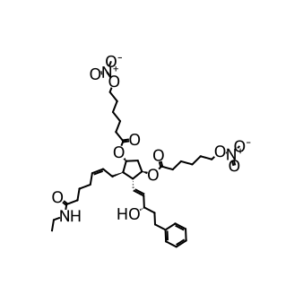 CCNC(=O)CCC/C=C\C[C@@H]1[C@@H](/C=C/[C@@H](O)CCc2ccccc2)[C@H](OC(=O)CCCCCO[N+](=O)[O-])C[C@@H]1OC(=O)CCCCCO[N+](=O)[O-]